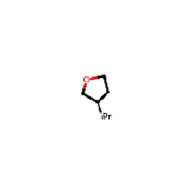 CC(C)[C@@H]1CCOC1